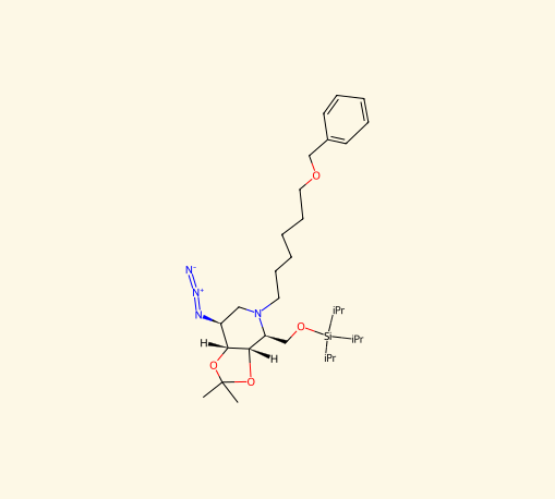 CC(C)[Si](OC[C@H]1[C@@H]2OC(C)(C)O[C@@H]2[C@@H](N=[N+]=[N-])CN1CCCCCCOCc1ccccc1)(C(C)C)C(C)C